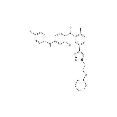 Cc1ccc(-c2cn(CCOC3CCCCO3)nn2)cc1C(=O)c1ccc(Nc2ccc(F)cc2)cc1Cl